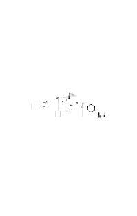 Cc1ncsc1-c1ccc([C@H](C)NC(=O)[C@@H]2C[C@@H](O)CN2C(=O)[C@@H](NC(=O)COC2CNC2)C(C)(C)C)cc1